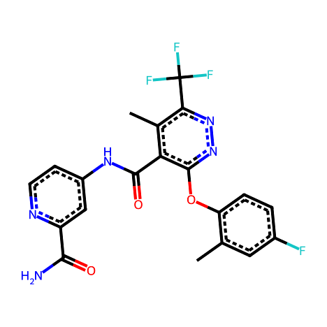 Cc1cc(F)ccc1Oc1nnc(C(F)(F)F)c(C)c1C(=O)Nc1ccnc(C(N)=O)c1